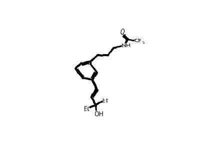 CCC(O)(C=Cc1cccc(CCCNC(=O)C(F)(F)F)c1)CC